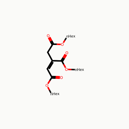 CCCCCCOC(=O)C=C(CC(=O)OCCCCCC)C(=O)OCCCCCC